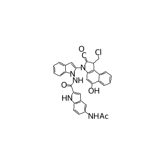 CC(=O)Nc1ccc2[nH]c(C(=O)Nn3c(N4C(=C=O)C(CCl)c5c4cc(O)c4ccccc54)cc4ccccc43)cc2c1